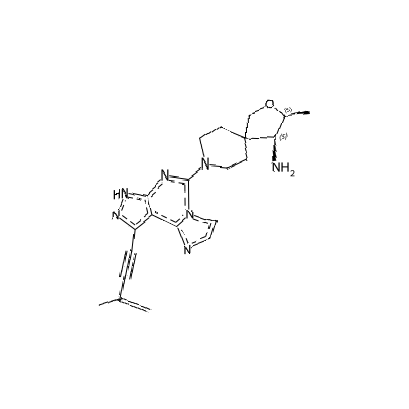 C=C(C)C#Cc1n[nH]c2nc(N3CCC4(CC3)CO[C@@H](C)[C@H]4N)n3ccnc3c12